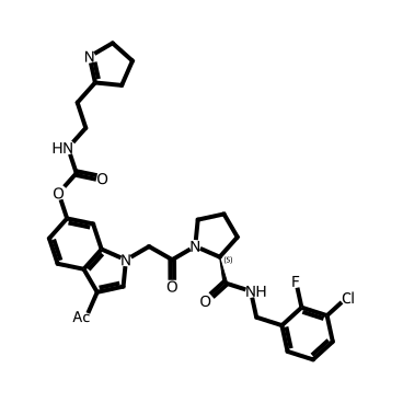 CC(=O)c1cn(CC(=O)N2CCC[C@H]2C(=O)NCc2cccc(Cl)c2F)c2cc(OC(=O)NCCC3=NCCC3)ccc12